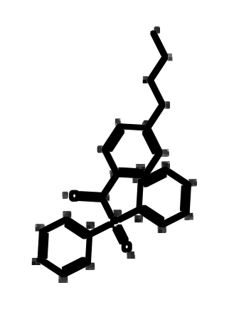 CCCCc1ccc(C(=O)P(=O)(c2ccccc2)c2ccccc2)cc1